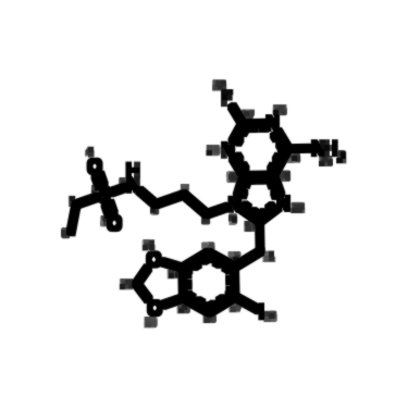 CCS(=O)(=O)NCCCn1c(Cc2cc3c(cc2I)OCO3)nc2c(N)nc(F)nc21